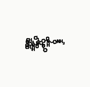 COc1cc2cc(C(=O)N3CC(CCl)c4c3cc(OCc3ccccc3)c3cc(C(=O)NCCc5ccc(N)cc5)ccc43)[nH]c2cc1OC